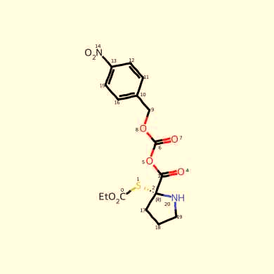 CCOC(=O)S[C@@]1(C(=O)OC(=O)OCc2ccc([N+](=O)[O-])cc2)CCCN1